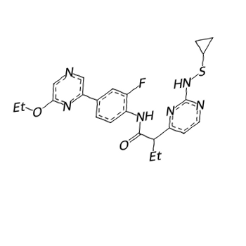 CCOc1cncc(-c2ccc(NC(=O)C(CC)c3ccnc(NSC4CC4)n3)c(F)c2)n1